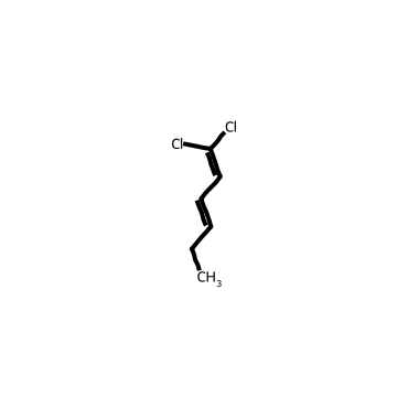 CCC=CC=C(Cl)Cl